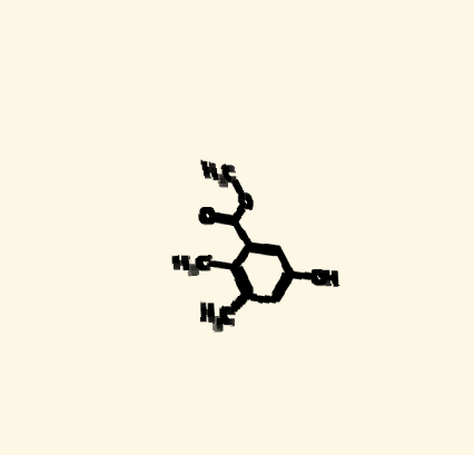 COC(=O)c1cc(O)cc(C)c1C